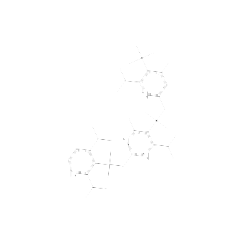 Cc1cc(CC(C)(C)c2c(C)nc(CC(C)(C)c3c(C(C)C)ccnc3C(C)C)nc2C(C)C)nc(C(C)C)c1C(C)(C)C